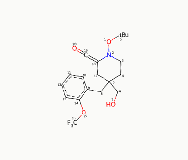 CC(C)(C)ON1CCC(CO)(Cc2ccccc2OC(F)(F)F)CC1=C=O